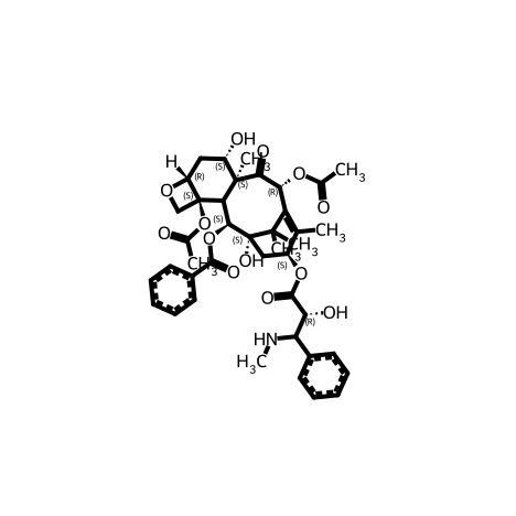 CNC(c1ccccc1)[C@@H](O)C(=O)O[C@H]1C[C@@]2(O)[C@@H](OC(=O)c3ccccc3)C3[C@](C)(C(=O)[C@H](OC(C)=O)C(=C1C)C2(C)C)[C@@H](O)C[C@H]1OC[C@@]31OC(C)=O